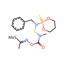 CSC(C)=NOC(=O)N(C)SN(Cc1ccccc1)P1(=S)OCCCO1